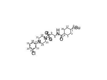 CCCCC1CCC(C(=O)NCCS(=O)(=O)N2CCN(c3cccc(Cl)c3)CC2)CC1